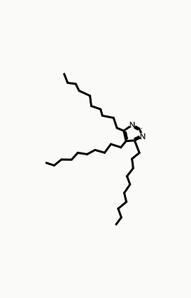 CCCCCCCCCCc1n[c]nc(CCCCCCCCCC)c1CCCCCCCCCC